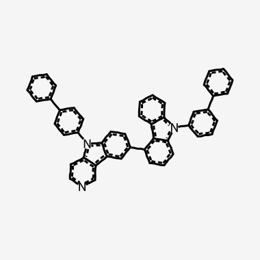 c1ccc(-c2ccc(-n3c4ccncc4c4cc(-c5cccc6c5c5ccccc5n6-c5cccc(-c6ccccc6)c5)ccc43)cc2)cc1